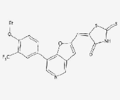 CCOc1ccc(-c2cncc3cc(C=C4SC(=S)NC4=O)oc23)cc1C(F)(F)F